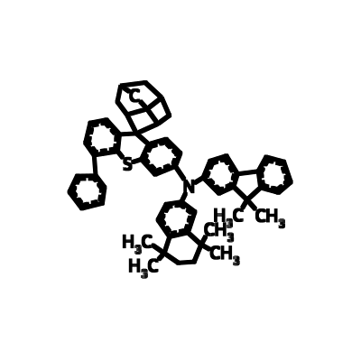 CC1(C)CCC(C)(C)c2cc(N(c3ccc4c(c3)Sc3c(-c5ccccc5)cccc3C43C4CC5CC6CC3C64C5)c3ccc4c(c3)C(C)(C)c3ccccc3-4)ccc21